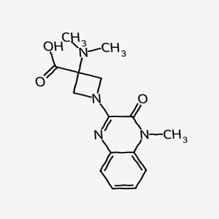 CN(C)C1(C(=O)O)CN(c2nc3ccccc3n(C)c2=O)C1